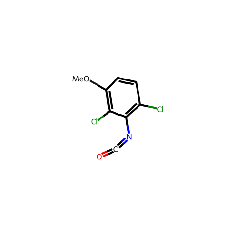 COc1ccc(Cl)c(N=C=O)c1Cl